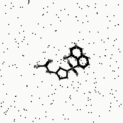 N=C(N)N[C@@H]1CCN(S(=O)(=O)c2cccc3cncc(Br)c23)C1